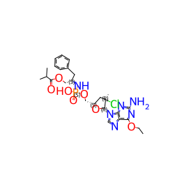 CCOc1nc(N)nc2c1ncn2[C@@H]1O[C@H](CO[P@@](=O)(O)N[C@H](COC(=O)C(C)C)Cc2ccccc2)C[C@@]1(C)Cl